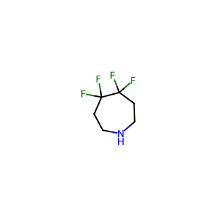 FC1(F)CCNCCC1(F)F